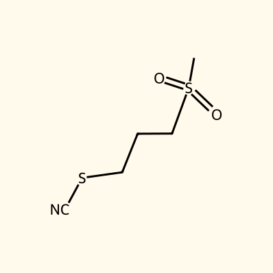 CS(=O)(=O)CCCSC#N